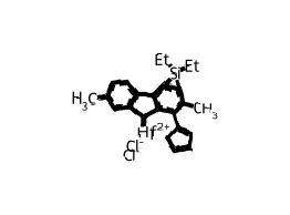 CC[Si]1(CC)c2c(C)c(C3=CC=CC3)c3c(c21)-c1ccc(C)cc1[CH]3[Hf+2].[Cl-].[Cl-]